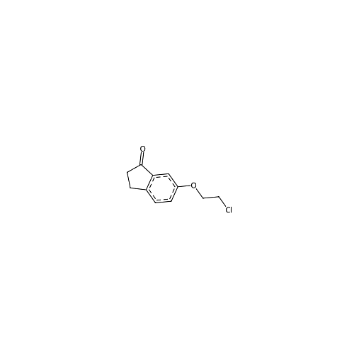 O=C1CCc2ccc(OCCCl)cc21